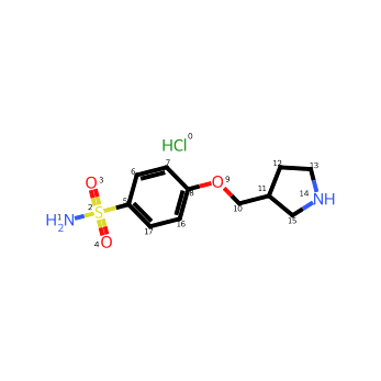 Cl.NS(=O)(=O)c1ccc(OCC2CCNC2)cc1